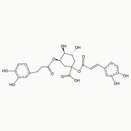 O=C(/C=C/c1ccc(O)c(O)c1)OC1(C(=O)O)C[C@@H](O)[C@H](O)[C@H](OC(=O)CCc2ccc(O)c(O)c2)C1